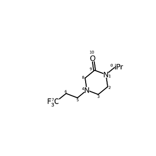 CC(C)N1CCN(CCC(F)(F)F)CC1=O